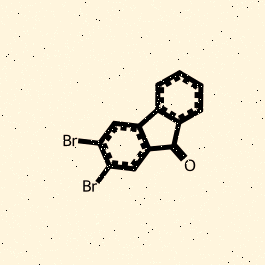 O=C1c2ccccc2-c2cc(Br)c(Br)cc21